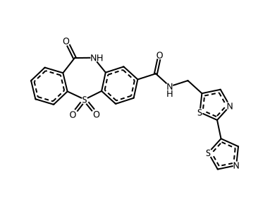 O=C(NCc1cnc(-c2cncs2)s1)c1ccc2c(c1)NC(=O)c1ccccc1S2(=O)=O